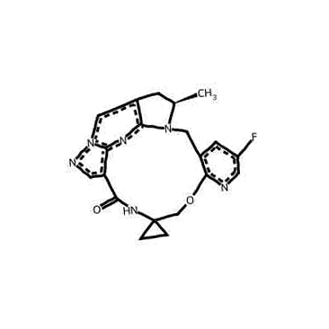 C[C@@H]1Cc2cn3ncc4c3nc2N1Cc1cc(F)cnc1OCC1(CC1)NC4=O